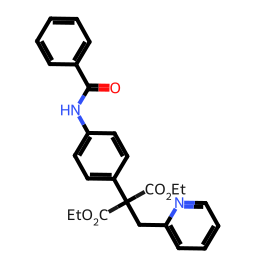 CCOC(=O)C(Cc1ccccn1)(C(=O)OCC)c1ccc(NC(=O)c2ccccc2)cc1